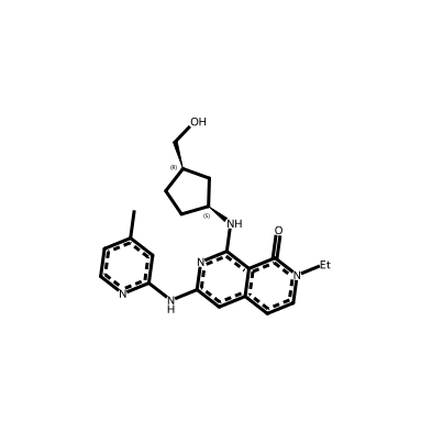 CCn1ccc2cc(Nc3cc(C)ccn3)nc(N[C@H]3CC[C@@H](CO)C3)c2c1=O